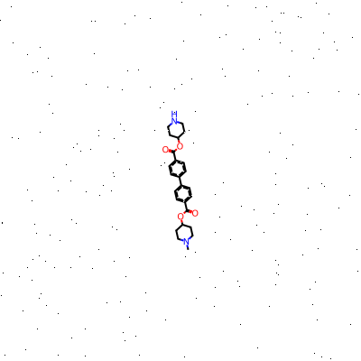 CN1CCC(OC(=O)c2ccc(-c3ccc(C(=O)OC4CCNCC4)cc3)cc2)CC1